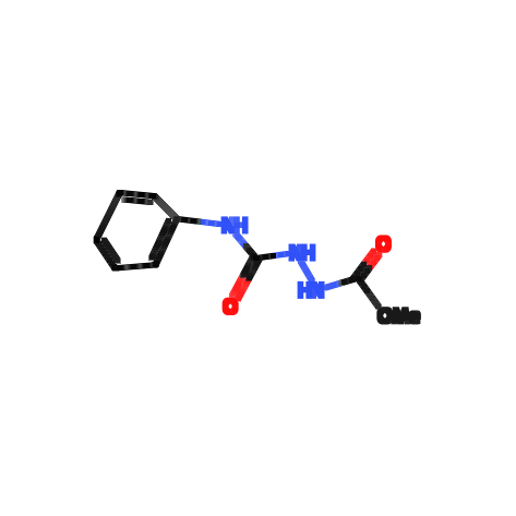 COC(=O)NNC(=O)Nc1ccccc1